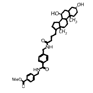 COC(=O)c1ccc(CNC(=O)c2ccc(CNC(=O)CCCC3CCC4C5C(CCC34C)C3(C)CC[C@@H](O)CC3C[C@@H]5O)cc2)cc1